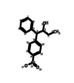 CCC(O)C(c1ccccc1)c1ccc([N+](=O)[O-])cc1